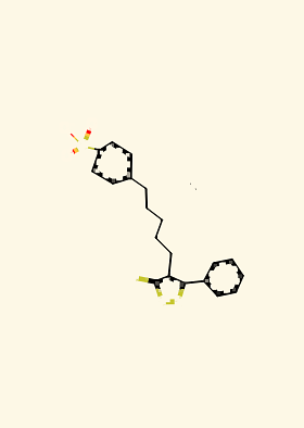 O=S(=O)([O-])c1ccc(CCCCCc2c(-c3ccccc3)ssc2=S)cc1.[Na+]